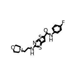 O=C(Nc1ccc(F)cc1)c1cc2sc(NCCN3CCOCC3)nc2s1